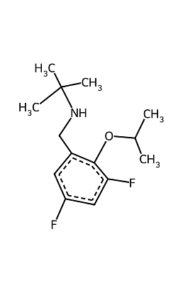 CC(C)Oc1c(F)cc(F)cc1CNC(C)(C)C